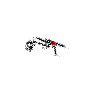 CN(CCOCCOCCOCCN(C)C(=O)[C@@H]1C[C@H](N=[N+]=[N-])CN1C(=O)c1ccc2c(=O)oc(=O)n(C)c2c1)C(=O)CCC12c3ccc(NC(=O)CCCCCCCN)cc3C(c3ccc(NC(=O)CCCCCCCN)cc31)c1ccc(NC(=O)CCCCCCCN)cc12